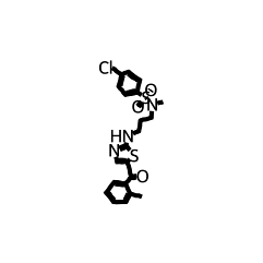 Cc1ccccc1C(=O)c1cnc(NCCCN(C)S(=O)(=O)c2ccc(Cl)cc2)s1